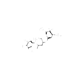 CC(CC(CC=O)Sc1cc(C(C)(C)C)c(O)c(C(C)(C)C)c1)Sc1cc(C(C)(C)C)c(O)c(C(C)(C)C)c1